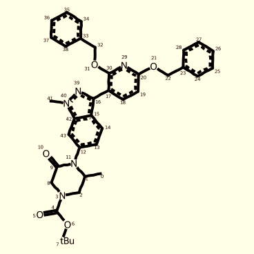 CC1CN(C(=O)OC(C)(C)C)CC(=O)N1c1ccc2c(-c3ccc(OCc4ccccc4)nc3OCc3ccccc3)nn(C)c2c1